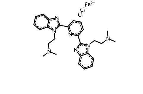 CN(C)CCn1c(-c2cccc(-c3nc4ccccc4n3CCN(C)C)n2)nc2ccccc21.[Cl-].[Cl-].[Fe+2]